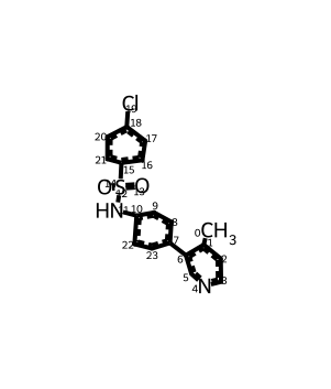 Cc1ccncc1-c1ccc(NS(=O)(=O)c2ccc(Cl)cc2)cc1